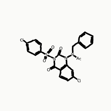 CC(=O)N(Cc1ccccc1)n1c(=O)n(S(=O)(=O)c2ccc(Cl)cc2)c(=O)c2ccc(Cl)cc21